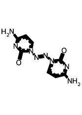 Nc1ccn(N=Nn2ccc(N)nc2=O)c(=O)n1